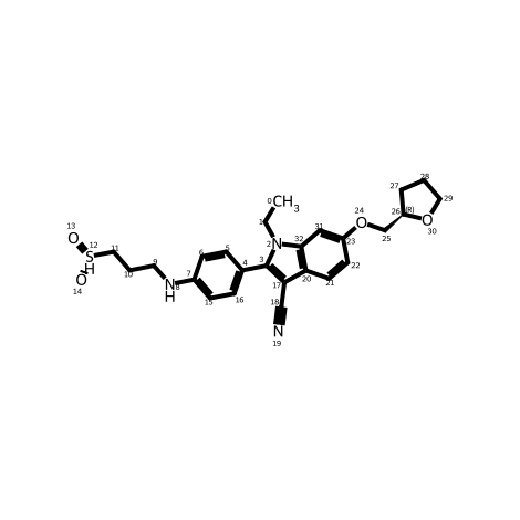 CCn1c(-c2ccc(NCCC[SH](=O)=O)cc2)c(C#N)c2ccc(OC[C@H]3CCCO3)cc21